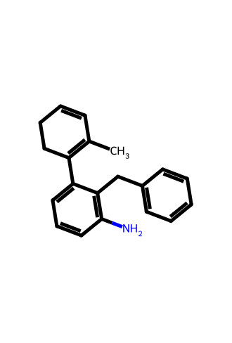 CC1=C(c2cccc(N)c2Cc2ccccc2)CCC=C1